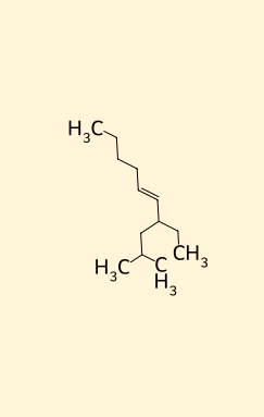 CCCCC=CC(CC)CC(C)C